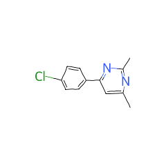 Cc1cc(-c2ccc(Cl)cc2)nc(C)n1